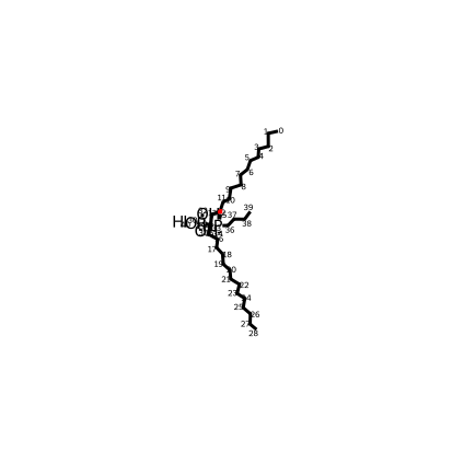 CCCCCCCCCCCCCCC(CCCCCCCCCCCCCC)(P(=O)(O)O)[PH](C)(C)CCCC.I